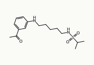 CC(=O)c1cccc(NCCCCCNS(=O)(=O)C(C)C)c1